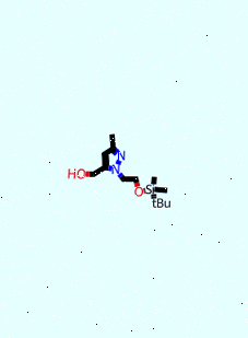 Cc1cc(CO)n(CCO[Si](C)(C)C(C)(C)C)n1